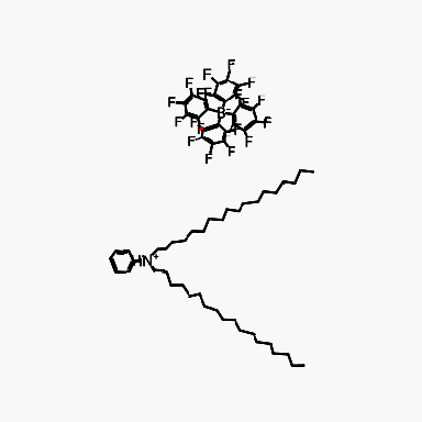 CCCCCCCCCCCCCCCCCC[NH+](CCCCCCCCCCCCCCCCCC)c1ccccc1.Fc1c(F)c(F)c([B-](c2c(F)c(F)c(F)c(F)c2F)(c2c(F)c(F)c(F)c(F)c2F)c2c(F)c(F)c(F)c(F)c2F)c(F)c1F